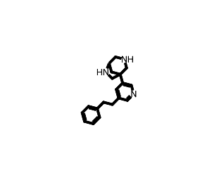 c1ccc(CCc2cncc(C34CNCC(C3)NC4)c2)cc1